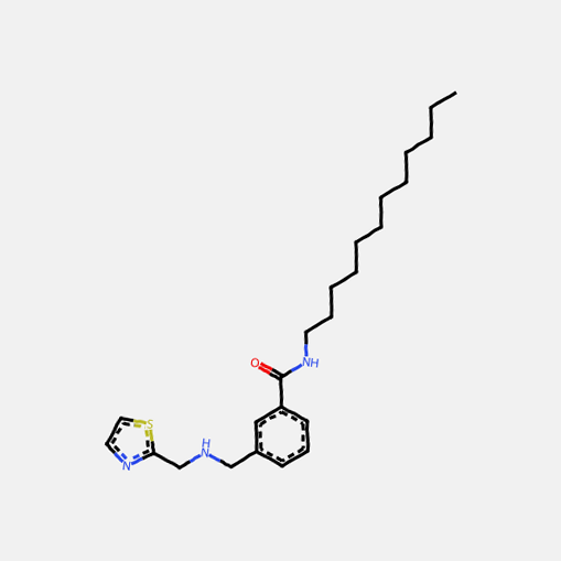 CCCCCCCCCCCCNC(=O)c1cccc(CNCc2nccs2)c1